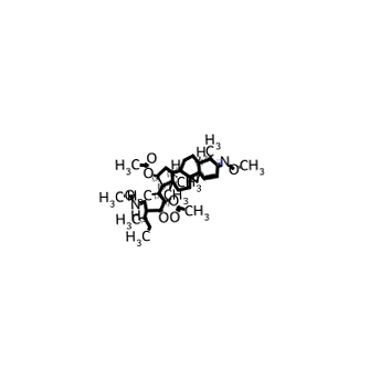 CC[C@H](C)C(CNOC)C(=O)[C@H](OC(C)=O)[C@@H](C)[C@H]1[C@@H](OC(C)=O)C[C@@]2(C)[C@@H]3CC[C@H]4[C@H](C)/C(=N/OC)C=C[C@@]45C[C@@]35CC[C@]12C